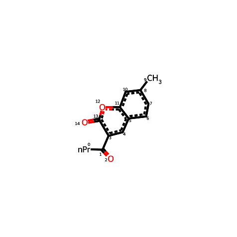 CCCC(=O)c1cc2ccc(C)cc2oc1=O